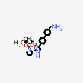 CC(C)(C)OC(=O)N1CCC[C@H]1c1nc(-c2ccc(-c3ccc(CN)cc3)cc2)c[nH]1